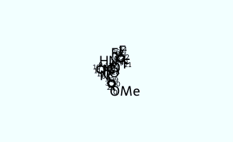 COc1ccc(C2=NC3(CCCCC3)N(CC(=O)Nc3cc(F)cc(F)c3F)C2=O)cc1